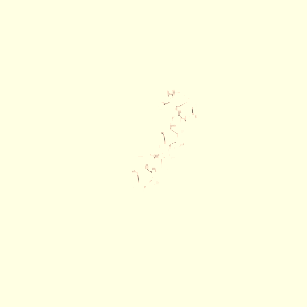 NC(=O)c1cccnc1Oc1ccc(CC(N)Cc2ccccc2)cc1